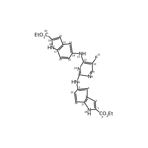 CCOC(=O)c1cc2cc(Nc3ncc(F)c(Nc4ccc5[nH]c(C(=O)OCC)cc5c4)n3)ccc2[nH]1